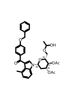 CC(=O)O[C@H]1[C@H](OC(C)=O)C[C@H](n2cc(C(=O)c3ccc(OCc4ccccc4)cc3)c3c(C)cccc32)O[C@@H]1COC(C)O